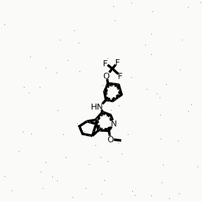 COc1ncc(Nc2cccc(OC(F)(F)F)c2)c2c1C1CCC2C1